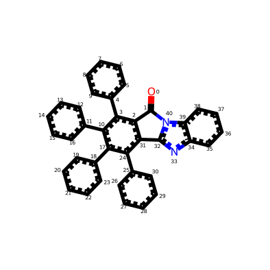 O=C1c2c(-c3ccccc3)c(-c3ccccc3)c(-c3ccccc3)c(-c3ccccc3)c2-c2nc3ccccc3n21